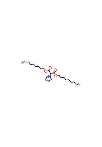 CC(C)CCCCCCCOC(=O)C(C(=O)OCCCCCCCC(C)C)n1cncn1